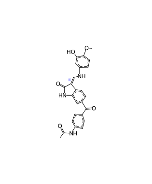 COc1ccc(N/C=C2/C(=O)Nc3cc(C(=O)c4ccc(NC(C)=O)cc4)ccc32)cc1O